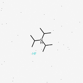 CC(C)[SiH](C(C)C)C(C)C.F